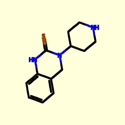 S=C1Nc2ccccc2CN1C1CCNCC1